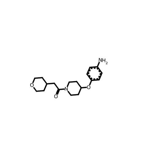 Nc1ccc(OC2CCN(C(=O)CC3CCOCC3)CC2)cc1